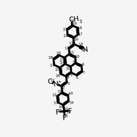 [C-]#[N+]/C(=C\C1=C2C=CC=C3C=C(/C=C(\C#N)c4ccc(C)cc4)C4=C(C(=C1)CC=C4)C32)c1ccc(C(F)(F)F)cc1